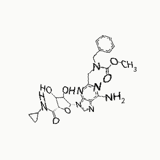 COC(=O)N(Cc1ccccc1)Cc1nc(N)c2ncn([C@@H]3O[C@H](C(=O)NC4CC4)C(O)C3O)c2n1